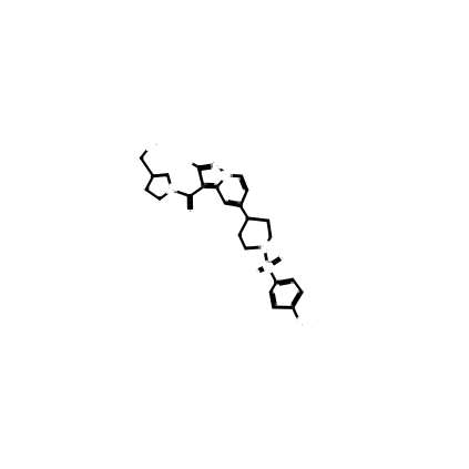 CC(=O)Nc1ccc(S(=O)(=O)N2CCC(c3ccn4nc(C)c(C(=O)N5CCC(CO)C5)c4c3)CC2)cc1